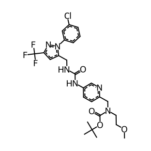 COCCN(Cc1ccc(NC(=O)NCc2cc(C(F)(F)F)nn2-c2cccc(Cl)c2)cn1)C(=O)OC(C)(C)C